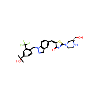 CC(C)(O)c1ccc(Cn2ncc3cc(C=C4SC(N5CCN[C@@H](CO)C5)=NC4=O)ccc32)c(C(F)(F)F)c1